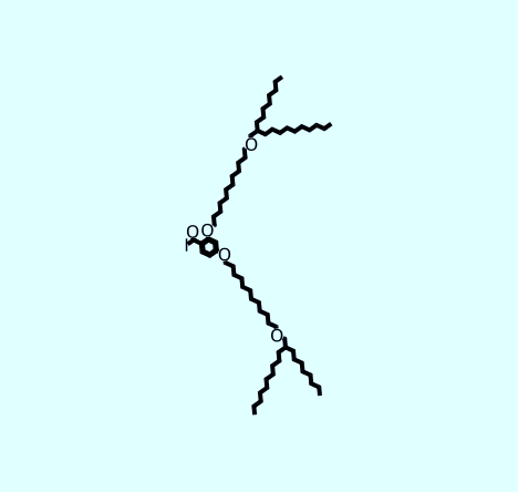 CCCCCCCCCCC(CCCCCCCC)COCCCCCCCCCCCCOc1ccc(C(=O)I)c(OCCCCCCCCCCCCOCC(CCCCCCCC)CCCCCCCCCC)c1